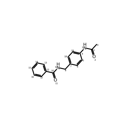 CC(=O)Nc1ccc(CNC(=O)c2ccccc2)cc1